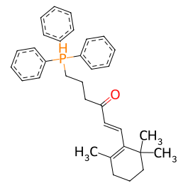 CC1=C(/C=C/C(=O)CCC[PH](c2ccccc2)(c2ccccc2)c2ccccc2)C(C)(C)CCC1